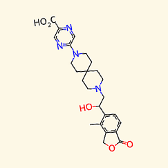 Cc1c(C(O)CN2CCC3(CC2)CCN(c2cnc(C(=O)O)cn2)CC3)ccc2c1COC2=O